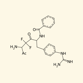 CC(=O)C(N)C(F)(F)C(=O)C(Cc1ccc(NC(=N)N)cc1)NC(=O)c1ccccc1